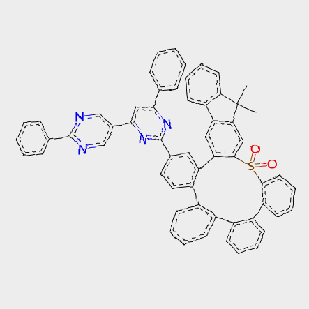 CC1(C)c2ccccc2-c2cc3c(cc21)S(=O)(=O)c1ccccc1-c1ccccc1-c1ccccc1-c1ccc(-c2nc(-c4ccccc4)cc(-c4cnc(-c5ccccc5)nc4)n2)cc1-3